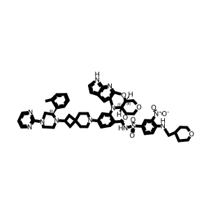 Cc1ccccc1[C@@H]1CN(c2ncccn2)CCN1C1CC2(CCN(c3ccc(C(=O)NS(=O)(=O)c4ccc(NCC5CCOCC5)c([N+](=O)[O-])c4)c(N4c5cc6cc[nH]c6nc5O[C@H]5COCC[C@@H]54)c3)CC2)C1